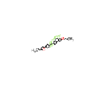 CCCCOc1ccc2c(c1F)C(F)(F)C(F)(F)c1c-2ccc(C(F)(F)C(F)(F)C2CCC(C3CCC(CCC)=CO3)CC2)c1F